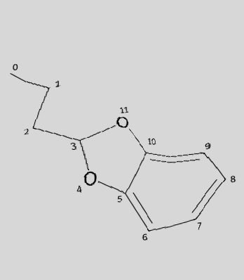 CCCC1Oc2ccccc2O1